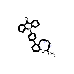 C=C1/C=C\C=C/Cc2c(cccc2-c2ccc(-n3c4ccccc4c(=O)c4ccccc43)cc2)O1